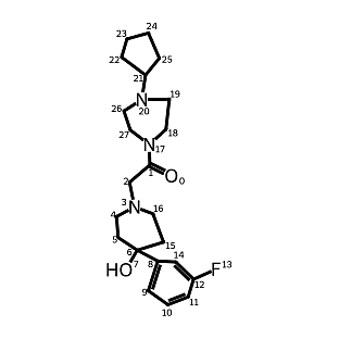 O=C(CN1CCC(O)(c2cccc(F)c2)CC1)N1CCN(C2CCCC2)CC1